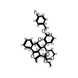 CCOC(=O)c1c(C)oc2c1c(C(c1ccnc(OCc3ccc(F)cc3)c1)N1CCOCC1)c(O)c1ccccc12